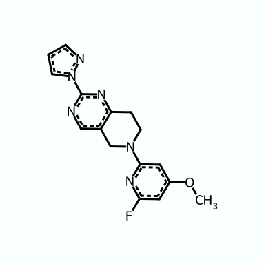 COc1cc(F)nc(N2CCc3nc(-n4cccn4)ncc3C2)c1